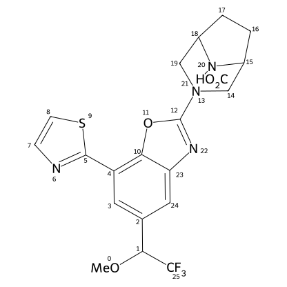 COC(c1cc(-c2nccs2)c2oc(N3CC4CCC(C3)N4C(=O)O)nc2c1)C(F)(F)F